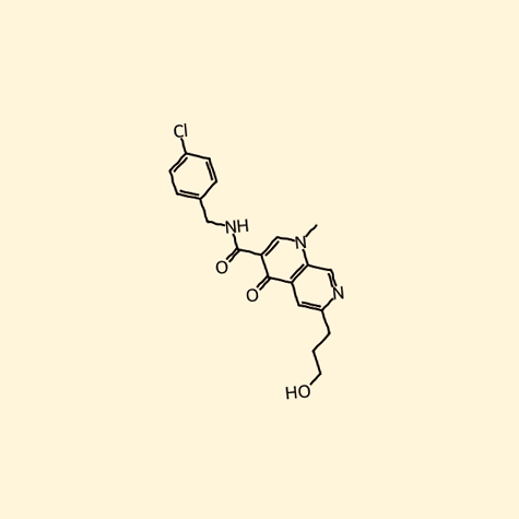 Cn1cc(C(=O)NCc2ccc(Cl)cc2)c(=O)c2cc(CCCO)ncc21